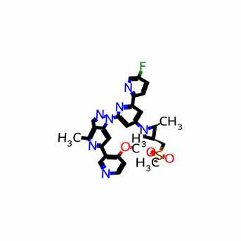 COc1ccncc1-c1cc2c(cnn2-c2cc(N3C[C@H](CS(C)(=O)=O)[C@H]3C)cc(-c3ccc(F)cn3)n2)c(C)n1